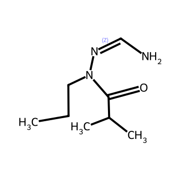 CCCN(/N=C\N)C(=O)C(C)C